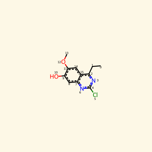 CCc1nc(Cl)nc2cc(O)c(OC)cc12